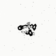 [Cl-].[Cl-].[Cl-].[Cr+3][CH2]c1ccccc1.c1ccc(CC2NCNC(Cc3ccccc3)N2)cc1